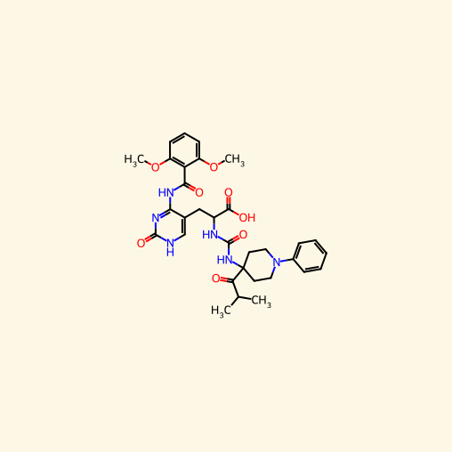 COc1cccc(OC)c1C(=O)Nc1nc(=O)[nH]cc1CC(NC(=O)NC1(C(=O)C(C)C)CCN(c2ccccc2)CC1)C(=O)O